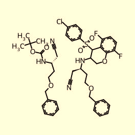 CC(C)(C)OC(=O)N[C@H](CC#N)CCOCc1ccccc1.N#CC[C@H](CCOCc1ccccc1)NC1COc2c(F)ccc(F)c2C1S(=O)(=O)c1ccc(Cl)cc1